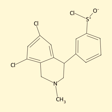 CN1Cc2c(Cl)cc(Cl)cc2C(c2cccc([S+]([O-])Cl)c2)C1